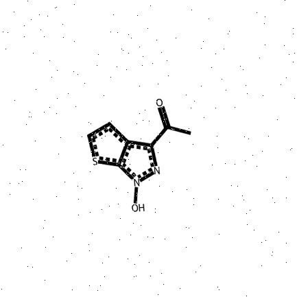 CC(=O)c1nn(O)c2sccc12